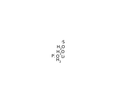 O.O.O.[Li].[P].[S]